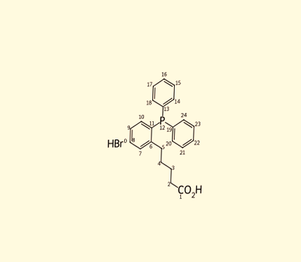 Br.O=C(O)CCCCc1ccccc1P(c1ccccc1)c1ccccc1